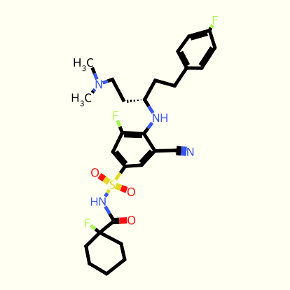 CN(C)CC[C@H](CCc1ccc(F)cc1)Nc1c(F)cc(S(=O)(=O)NC(=O)C2(F)CCCCC2)cc1C#N